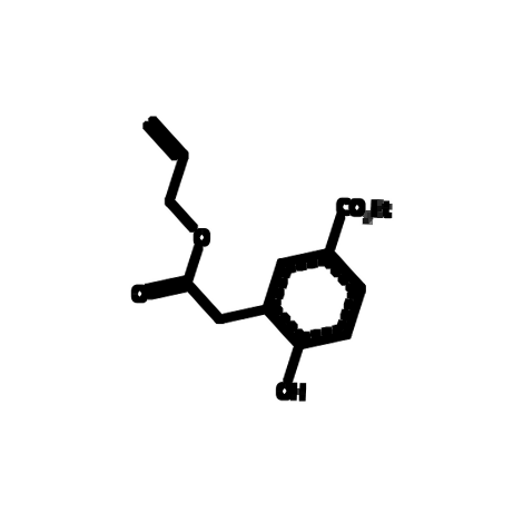 C=CCOC(=O)Cc1cc(C(=O)OCC)ccc1O